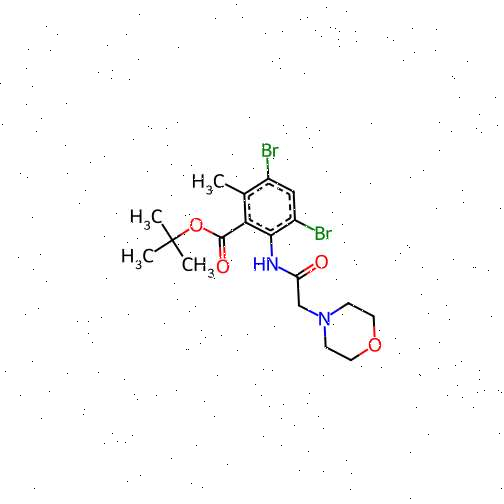 Cc1c(Br)cc(Br)c(NC(=O)CN2CCOCC2)c1C(=O)OC(C)(C)C